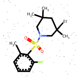 CCC1(C)CN(S(=O)(=O)c2c(C)cccc2F)CC(C)(C)C1